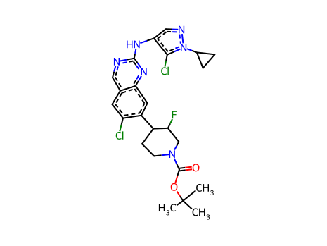 CC(C)(C)OC(=O)N1CCC(c2cc3nc(Nc4cnn(C5CC5)c4Cl)ncc3cc2Cl)C(F)C1